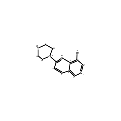 Brc1cncc2ccc(N3CCOCC3)nc12